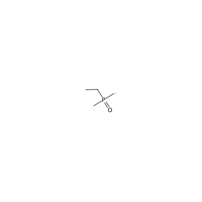 [CH2]P(C)(=O)CC